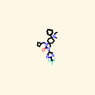 CCN(C)C1(c2ccccc2)CCC2(CC1)CN(c1cnc(C(F)(F)F)nc1)C(=O)N2CC1CCC1